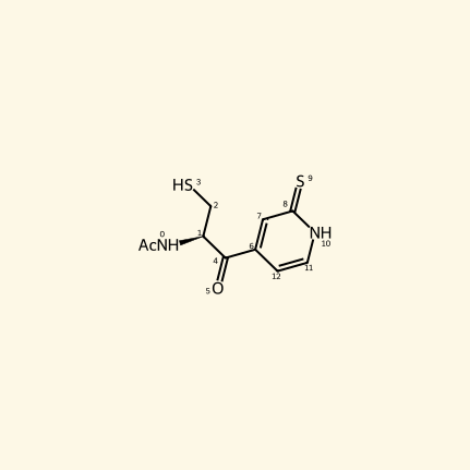 CC(=O)N[C@@H](CS)C(=O)c1[c]c(=S)[nH]cc1